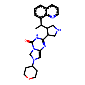 CC(c1cccc2cccnc12)C1CNCC1C1=NC2=CN(C3CCOCC3)CN2C(=O)N1